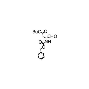 CC(C)COC(=O)C[C@H](C=O)NC(=O)OCc1ccccc1